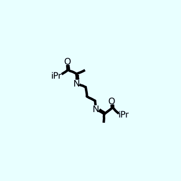 CC(=NCCCN=C(C)C(=O)C(C)C)C(=O)C(C)C